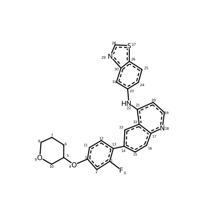 Fc1cc(OC2CCCOC2)ccc1-c1ccc2nccc(Nc3ccc4scnc4c3)c2c1